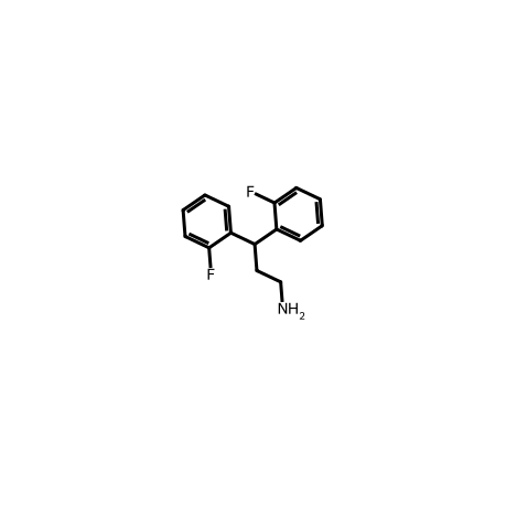 NCCC(c1ccccc1F)c1ccccc1F